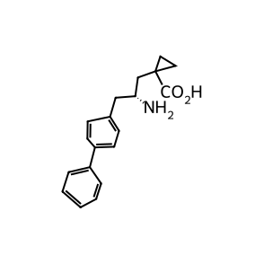 N[C@H](Cc1ccc(-c2ccccc2)cc1)CC1(C(=O)O)CC1